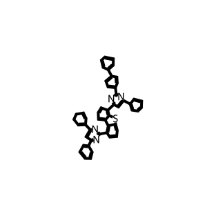 C1=CC(c2cc(-c3ccccc3)nc(-c3cccc4sc5c(-c6cc(-c7ccccc7)nc(-c7ccc(-c8ccccc8)cc7)n6)cccc5c34)n2)=CCC1